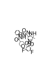 CC1(C)CN(S(=O)(=O)c2cc(F)cc(F)c2)Cc2c(NC(=O)c3ccccc3NC(=O)C3CCOCC3)n[nH]c21